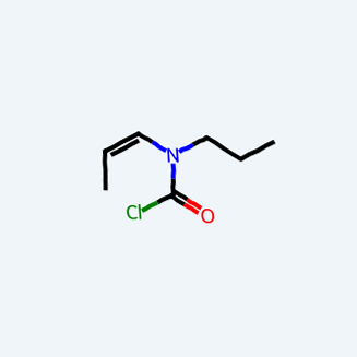 C/C=C\N(CCC)C(=O)Cl